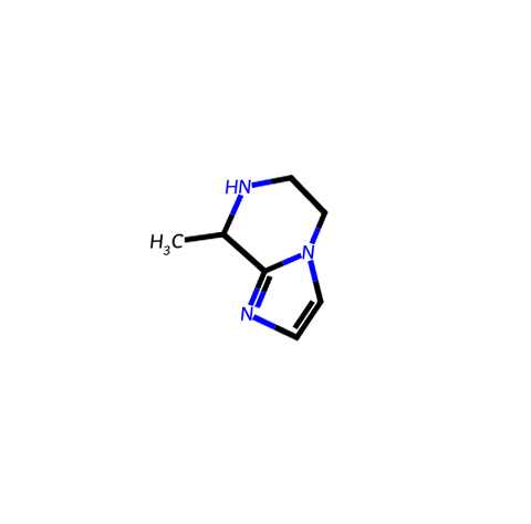 CC1NCCn2ccnc21